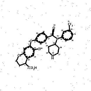 O=C(O)C1CCOc2cc(Oc3ccc(C(=O)N(c4cccc(C(F)(F)F)c4)C4CCNCC4)cc3)c(Cl)cc21